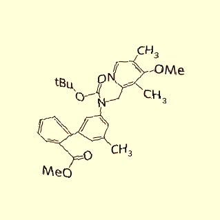 COC(=O)c1ccccc1-c1cc(C)cc(N(Cc2ncc(C)c(OC)c2C)C(=O)OC(C)(C)C)c1